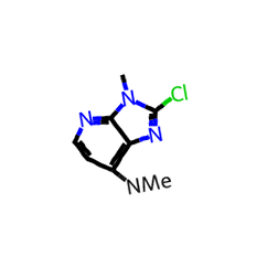 CNc1ccnc2c1nc(Cl)n2C